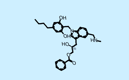 CCCCc1cc(O)c(Cn2cc(C[C@H](O)COC(=O)c3ccccc3)c3cc(CNC)ccc32)c(O)c1